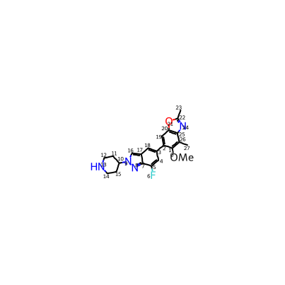 COc1c(-c2cc(F)c3nn(C4CCNCC4)cc3c2)cc2oc(C)nc2c1C